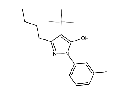 CCCCc1nn(-c2cccc(C)c2)c(O)c1C(C)(C)C